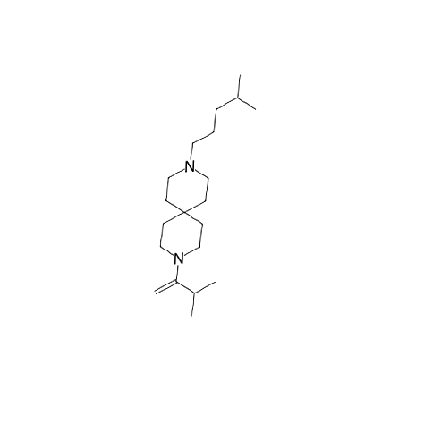 C=C(C(C)C)N1CCC2(CCN(CCCC(C)C)CC2)CC1